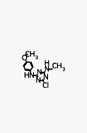 CCNc1nc(Cl)nc(Nc2ccc(OC)cc2)n1